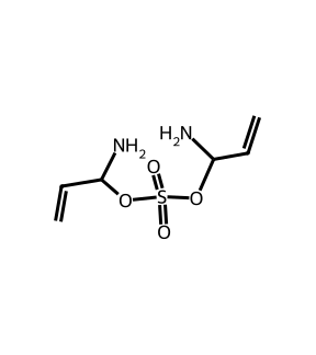 C=CC(N)OS(=O)(=O)OC(N)C=C